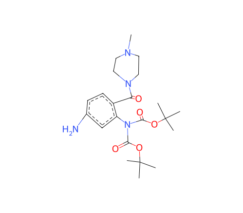 CN1CCN(C(=O)c2ccc(N)cc2N(C(=O)OC(C)(C)C)C(=O)OC(C)(C)C)CC1